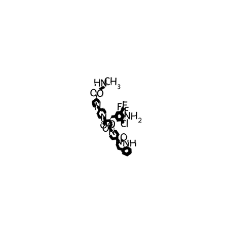 CNCCOC(=O)[C@H]1CCN(C2CCN(C(=O)[C@@H](Cc3cc(Cl)c(N)c(C(F)(F)F)c3)OC(=O)N3CCC(N4CCc5ccccc5NC4=O)CC3)CC2)C1